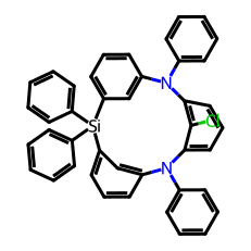 Clc1c2cccc1N(c1ccccc1)c1cccc(c1)[Si](c1ccccc1)(c1ccccc1)c1cccc(c1)N2c1ccccc1